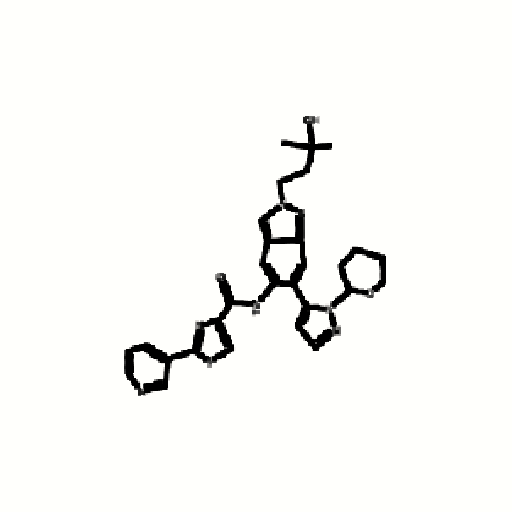 CC(C)(O)CCn1cc2cc(NC(=O)c3csc(-c4cccnc4)n3)c(-c3ccnn3C3CCCCO3)cc2n1